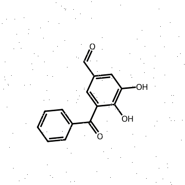 O=Cc1cc(O)c(O)c(C(=O)c2ccccc2)c1